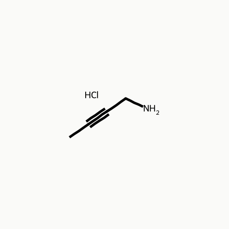 CC#CCN.Cl